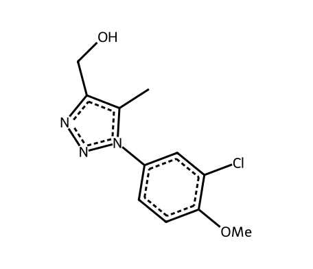 COc1ccc(-n2nnc(CO)c2C)cc1Cl